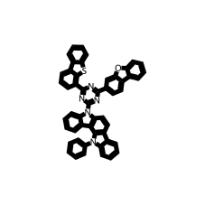 c1ccc(-n2c3ccccc3c3ccc4c(c5ccccc5n4-c4nc(-c5ccc6c(c5)oc5ccccc56)nc(-c5cccc6c5sc5ccccc56)n4)c32)cc1